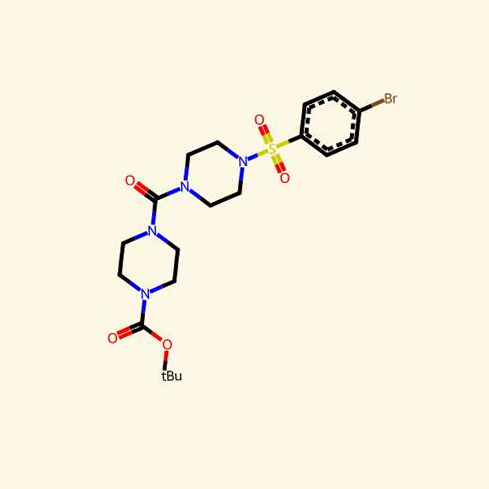 CC(C)(C)OC(=O)N1CCN(C(=O)N2CCN(S(=O)(=O)c3ccc(Br)cc3)CC2)CC1